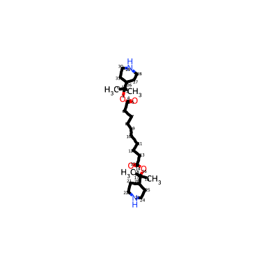 CC(C)(OC(=O)CCCCCCCCC(=O)OC(C)(C)C1CCNCC1)C1CCNCC1